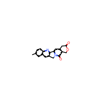 Cc1ccc2nc3c(cc2c1)Cn1c-3cc2c(c1=O)COC(=O)C2